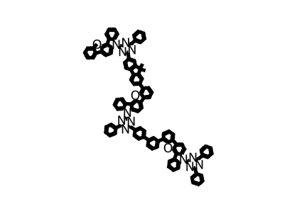 CC1(C)c2cc(-c3nc(-c4ccccc4)nc(-n4c5ccccc5c5c6oc7ccccc7c6ccc54)n3)ccc2-c2ccc(-c3cccc4c3oc3c4ccc4c3c3ccccc3n4-c3nc(-c4ccccc4)nc(-c4ccc(-c5cccc(-c6cccc7c6oc6c7ccc7c6c6ccccc6n7-c6nc(-c7ccccc7)nc(-c7ccccc7)n6)c5)cc4)n3)cc21